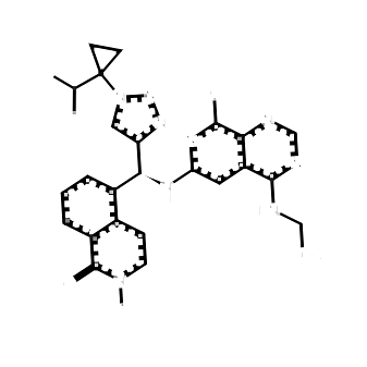 Cn1ccc2c([C@H](Nc3cc4c(NCC(C)(C)C)ncnc4c(Cl)n3)c3cn(C4(C(F)F)CC4)nn3)cccc2c1=O